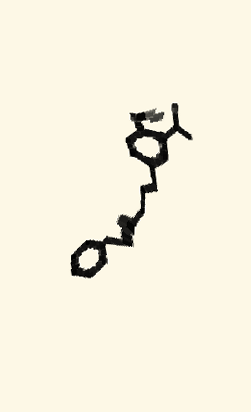 CC(=O)c1cc(CCCOCc2ccccc2)ccc1N